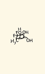 C[C@@H]1C[C@H](CO)[C@@H](O)[C@]1(O)C(F)(F)F